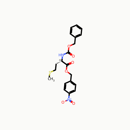 CSCC[C@H](NC(=O)OCc1ccccc1)C(=O)OCc1ccc([N+](=O)[O-])cc1